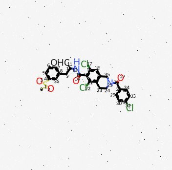 CS(=O)(=O)c1cccc(C[C@@H](C=O)NC(=O)c2c(Cl)cc3c(c2Cl)CCN(C(=O)c2ccc(Cl)cc2)C3)c1